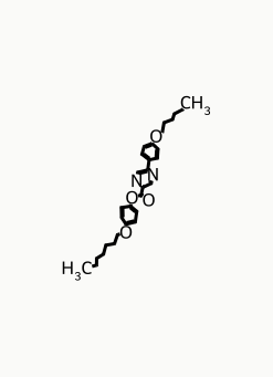 CCCCCCCOc1ccc(OC(=O)c2cnc(-c3ccc(OCCCCCC)cc3)cn2)cc1